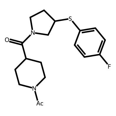 CC(=O)N1CCC(C(=O)N2CCC(Sc3ccc(F)cc3)C2)CC1